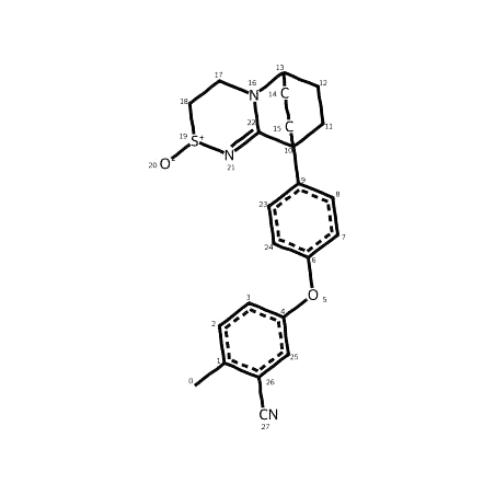 Cc1ccc(Oc2ccc(C34CCC(CC3)N3CC[S+]([O-])N=C34)cc2)cc1C#N